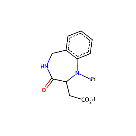 CC(C)N1c2ccccc2CNC(=O)C1CC(=O)O